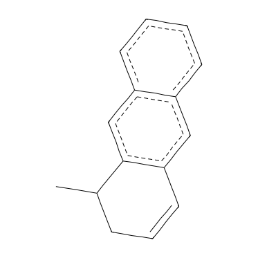 CC1CC=Cc2cc3ccccc3cc21